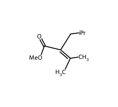 COC(=O)C(CC(C)C)=C(C)C